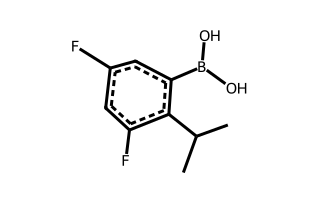 CC(C)c1c(F)cc(F)cc1B(O)O